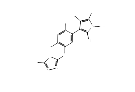 Cc1nnc(Oc2cc(-c3c(Cl)c(C(F)(F)F)n(C)c3Cl)c(F)cc2Cl)s1